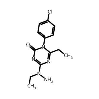 CCc1nc(N(N)CC)nc(=O)n1-c1ccc(Cl)cc1